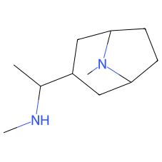 CNC(C)C1CC2CCC(C1)N2C